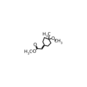 COC(=O)C=C1CCC(C)(OC)CC1